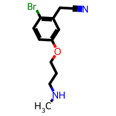 CNCCCOc1ccc(Br)c(CC#N)c1